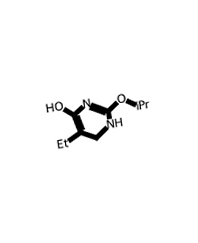 CCC1=C(O)N=C(OC(C)C)N[CH]1